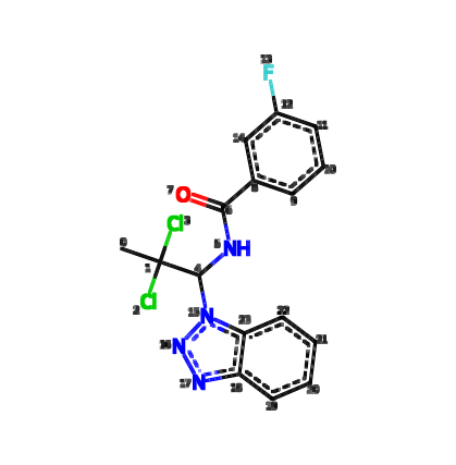 CC(Cl)(Cl)C(NC(=O)c1cccc(F)c1)n1nnc2ccccc21